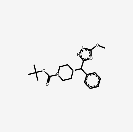 COc1nnc(C(c2ccccc2)N2CCN(C(=O)OC(C)(C)C)CC2)o1